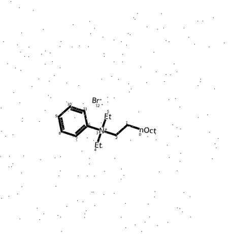 CCCCCCCCCC[N+](CC)(CC)c1ccccc1.[Br-]